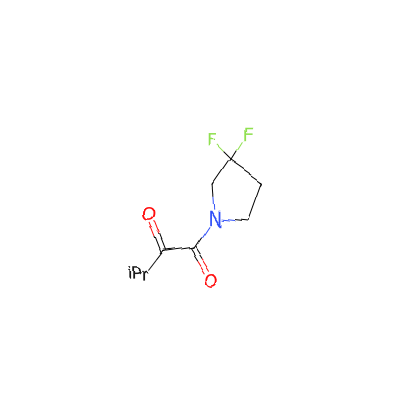 CC(C)C(=O)C(=O)N1CCC(F)(F)C1